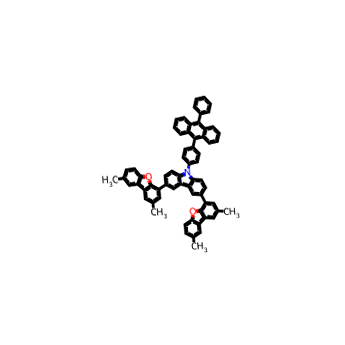 Cc1ccc2oc3c(-c4ccc5c(c4)c4cc(-c6cc(C)cc7c6oc6ccc(C)cc67)ccc4n5-c4ccc(-c5c6ccccc6c(-c6ccccc6)c6ccccc56)cc4)cc(C)cc3c2c1